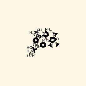 Cc1ccc(S(=O)(=O)ON(C)C)cc1.Cl.NC(CO)(CO)CO.Nc1ccc(/N=N/c2ccccc2)c(N)n1.O=C1C=C(N2CC2)C(=O)C(N2CC2)=C1N1CC1